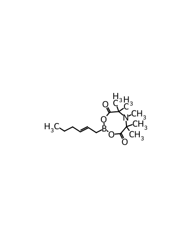 CCCC=CCB1OC(=O)C(C)(C)N(C)C(C)(C)C(=O)O1